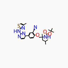 Cc1csc(Nc2nccc(-c3ccc(OCC(C)(CC(C)C)NC(=O)OC(C)(C)C)c(C#N)c3)n2)n1